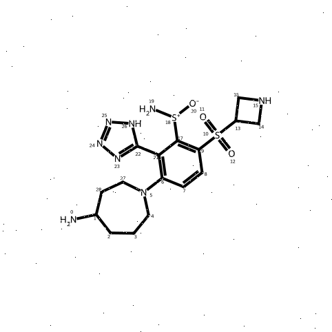 NC1CCCN(c2ccc(S(=O)(=O)C3CNC3)c([S+](N)[O-])c2-c2nnn[nH]2)CC1